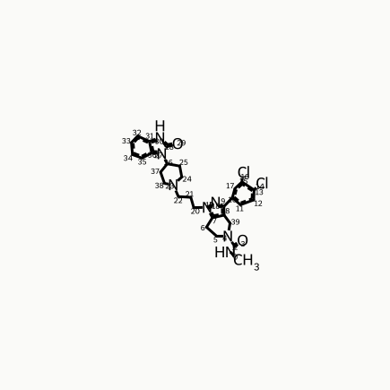 CNC(=O)N1CCc2c(c(-c3ccc(Cl)c(Cl)c3)nn2CCCN2CCC(n3c(=O)[nH]c4ccccc43)CC2)C1